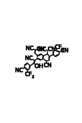 N#CC(C#N)=Cc1cc2c(cc1/C(C#N)=C(\O)c1ccc(C#N)c(C(F)(F)F)c1)C(C#N)C=C(c1ccc(C#N)c(C(F)(F)F)c1)C2C(C#N)C#N